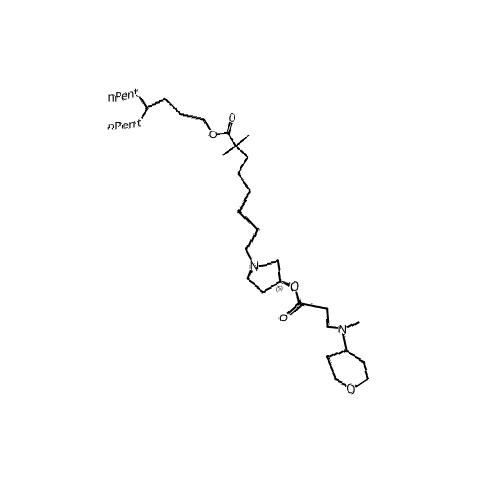 CCCCCC(CCCCC)CCCOC(=O)C(C)(C)CCCCCCN1CC[C@H](OC(=O)CCN(C)C2CCOCC2)C1